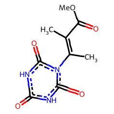 COC(=O)C(C)=C(C)n1c(=O)[nH]c(=O)[nH]c1=O